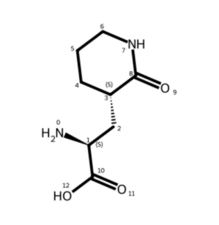 N[C@@H](C[C@@H]1CCCNC1=O)C(=O)O